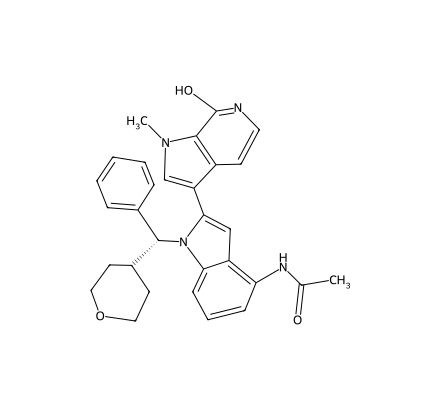 CC(=O)Nc1cccc2c1cc(-c1cn(C)c3c(O)nccc13)n2[C@@H](c1ccccc1)C1CCOCC1